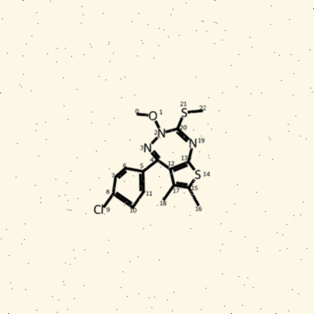 CON1N=C(c2ccc(Cl)cc2)c2c(sc(C)c2C)N=C1SC